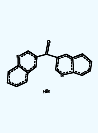 Br.O=C(c1cnc2ccccc2c1)c1cnc2ccccc2c1